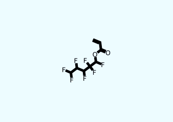 C=CC(=O)OC(F)C(F)(F)C(F)C(F)C(F)F